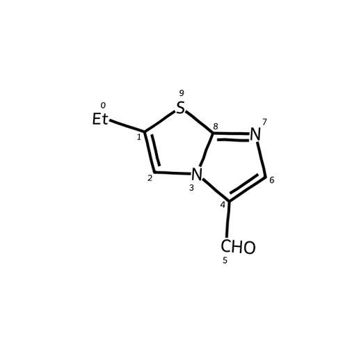 CCc1cn2c(C=O)cnc2s1